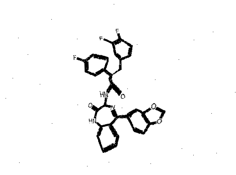 O=C1Nc2ccccc2C(c2ccc3c(c2)OCO3)=NC1NC(=O)[C@H](Cc1ccc(F)c(F)c1)c1ccc(F)cc1